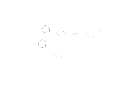 CC(C)OC(=O)COCC=CCN1CCN(Cc2ccccc2-c2ccc(Cl)cc2)CC1.Cl.Cl